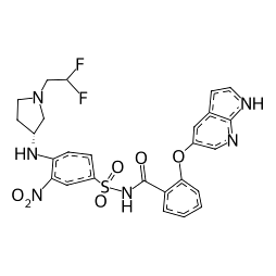 O=C(NS(=O)(=O)c1ccc(N[C@@H]2CCN(CC(F)F)C2)c([N+](=O)[O-])c1)c1ccccc1Oc1cnc2[nH]ccc2c1